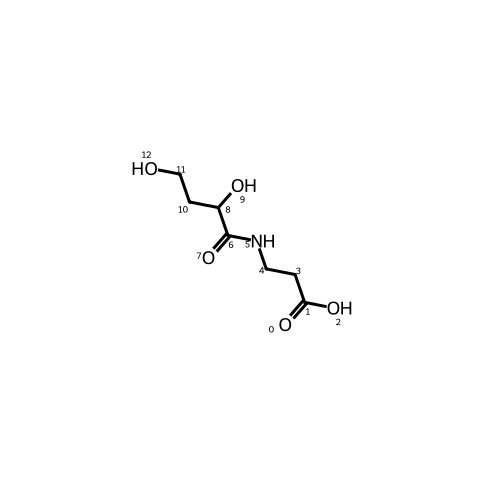 O=C(O)CCNC(=O)C(O)CCO